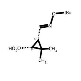 CC(C)(C)ON=C[C@H]1[C@@H](C(=O)O)C1(C)C